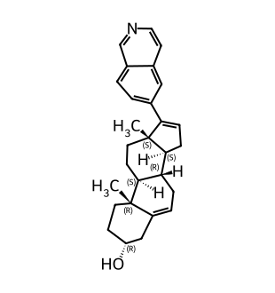 C[C@]12CC[C@@H](O)CC1=CC[C@@H]1[C@@H]2CC[C@]2(C)C(c3ccc4cnccc4c3)=CC[C@@H]12